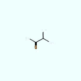 CCCCC(C)C(=S)C(C)C